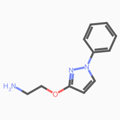 NCCOc1ccn(-c2ccccc2)n1